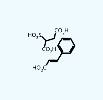 O=C(O)C=Cc1ccccc1.O=C(O)CC(C(=O)O)S(=O)(=O)O